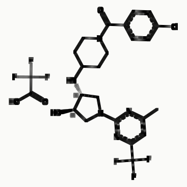 Cc1cc(C(F)(F)F)nc(N2C[C@@H](O)[C@H](NC3CCN(C(=O)c4ccc(Cl)cc4)CC3)C2)n1.O=C(O)C(F)(F)F